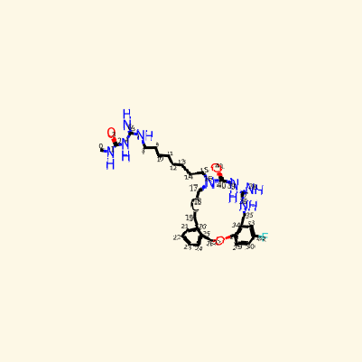 CNC(=O)NC(=N)NCCCCCCCCN1CCCc2ccccc2COc2ccc(F)cc2CNC(=N)NC1=O